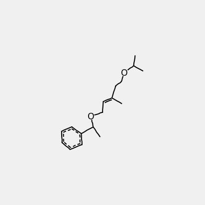 C/C(=C\COC(C)c1ccccc1)CCOC(C)C